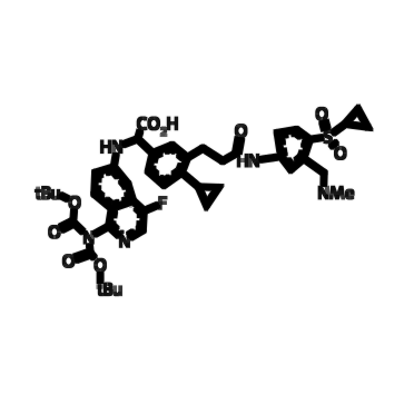 CNCc1cc(NC(=O)CCc2cc(C(Nc3ccc4c(N(C(=O)OC(C)(C)C)C(=O)OC(C)(C)C)ncc(F)c4c3)C(=O)O)ccc2C2CC2)ccc1S(=O)(=O)C1CC1